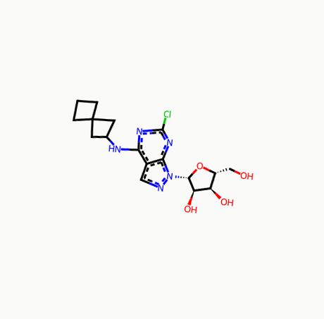 OC[C@H]1O[C@@H](n2ncc3c(NC4CC5(CCC5)C4)nc(Cl)nc32)[C@H](O)[C@@H]1O